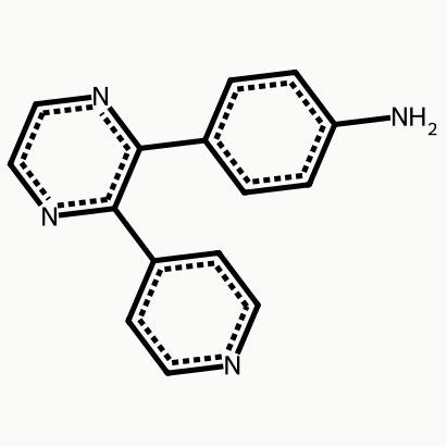 Nc1ccc(-c2nccnc2-c2ccncc2)cc1